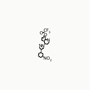 O=C(On1ccc2c(-n3cc(-c4cccc([N+](=O)[O-])c4)cn3)ccnc21)C(F)(F)F